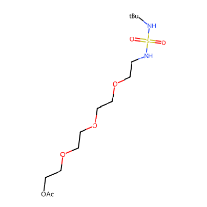 CC(=O)OCCOCCOCCOCCNS(=O)(=O)NC(C)(C)C